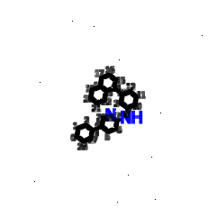 c1ccc(-c2ccc(Nc3cccc(-c4cccc5ccccc45)c3)nc2)cc1